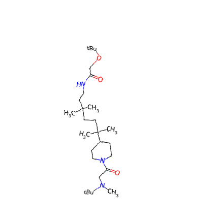 CN(CC(=O)N1CCC(C(C)(C)CCC(C)(C)CCNC(=O)COC(C)(C)C)CC1)C(C)(C)C